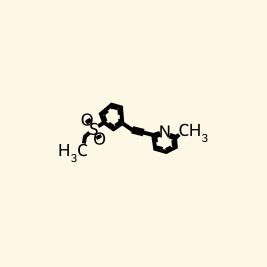 CCS(=O)(=O)c1cccc(C#Cc2cccc(C)n2)c1